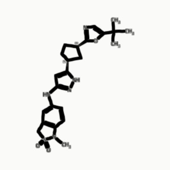 CN1c2ccc(Nc3cc([C@H]4CC[C@@H](c5ncc(C(C)(C)C)o5)C4)[nH]n3)cc2CS1(=O)=O